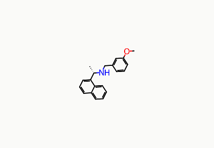 COc1cccc(CN[C@@H](C)c2cccc3ccccc23)c1